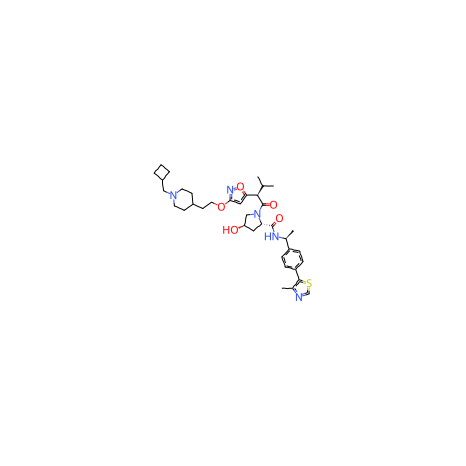 Cc1ncsc1-c1ccc([C@H](C)NC(=O)[C@@H]2C[C@@H](O)CN2C(=O)[C@@H](c2cc(OCCC3CCN(CC4CCC4)CC3)no2)C(C)C)cc1